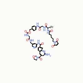 CC(C)C(NC(=O)CCCCCN1C(=O)C=CC1=O)C(=O)NCC(=O)Nc1ccc(COC(=O)NCC(=O)NCc2cncc(NC(=O)c3ccc4c(c3)N=C(N)CC(C(=O)N3CCOC3)=C4)c2)cc1